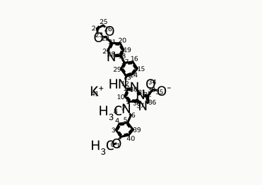 COc1ccc(CN(C)c2cc(Nc3cccc(-c4ccc(C5OCCO5)cn4)c3)nn3c(C(=O)[O-])cnc23)cc1.[K+]